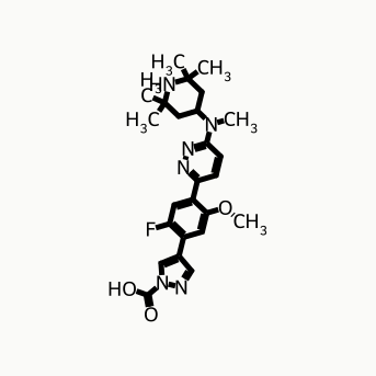 COc1cc(-c2cnn(C(=O)O)c2)c(F)cc1-c1ccc(N(C)C2CC(C)(C)NC(C)(C)C2)nn1